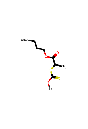 CCCCCCCCCCCCOC(=O)C(C)SC(=S)OCC